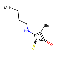 CNCCCNc1c(C(C)(C)C)c(=O)c1=S